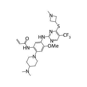 C=CC(=O)Nc1cc(Nc2ncc(C(F)(F)F)c(SC3CN(C)C3)n2)c(OC)cc1N1CCC(N(C)C)CC1